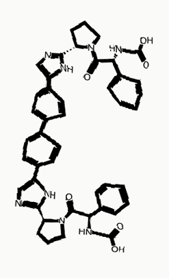 O=C(O)N[C@@H](C(=O)N1CCC[C@H]1c1ncc(-c2ccc(-c3ccc(-c4cnc([C@@H]5CCCN5C(=O)[C@H](NC(=O)O)c5ccccc5)[nH]4)cc3)cc2)[nH]1)c1ccccc1